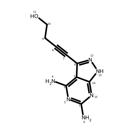 Nc1nc(N)c2c(C#CCCO)n[nH]c2n1